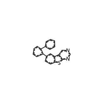 c1ccc(-c2ccccc2-c2ccc3sc4ncncc4c3c2)cc1